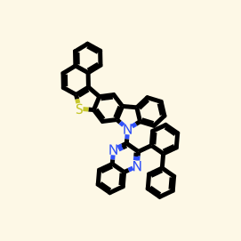 c1ccc(-c2ccccc2-c2nc3ccccc3nc2-n2c3ccccc3c3cc4c(cc32)sc2ccc3ccccc3c24)cc1